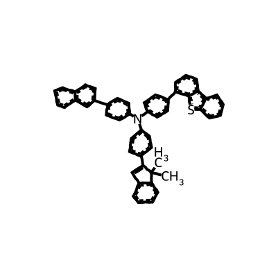 CC1(C)C(c2ccc(N(c3ccc(-c4ccc5ccccc5c4)cc3)c3ccc(-c4cccc5c4sc4ccccc45)cc3)cc2)=Cc2ccccc21